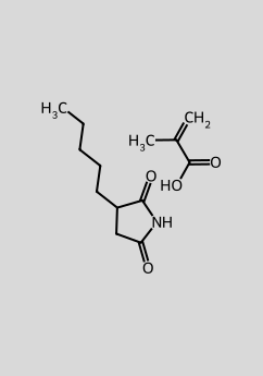 C=C(C)C(=O)O.CCCCCC1CC(=O)NC1=O